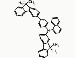 CC1(C)c2ccccc2-c2cc(-c3ccc(N(c4ccc5c(c4)C(C)(C)c4ccccc4-5)c4cccc5ccccc45)cc3)ccc21